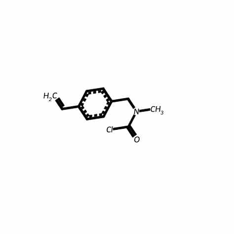 C=Cc1ccc(CN(C)C(=O)Cl)cc1